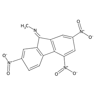 C/N=C1\c2cc([N+](=O)[O-])ccc2-c2c1cc([N+](=O)[O-])cc2[N+](=O)[O-]